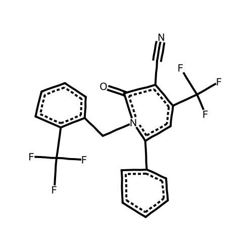 N#Cc1c(C(F)(F)F)cc(-c2ccccc2)n(Cc2ccccc2C(F)(F)F)c1=O